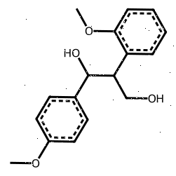 COc1ccc(C(O)C(CO)c2ccccc2OC)cc1